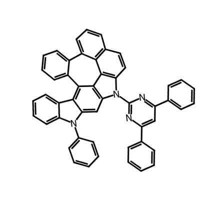 c1ccc(-c2cc(-c3ccccc3)nc(-n3c4cc5c(c6c4c4c7c(cccc7ccc43)-c3ccccc3-6)c3ccccc3n5-c3ccccc3)n2)cc1